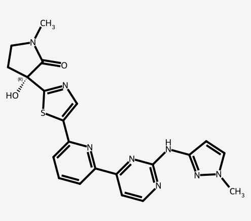 CN1CC[C@](O)(c2ncc(-c3cccc(-c4ccnc(Nc5ccn(C)n5)n4)n3)s2)C1=O